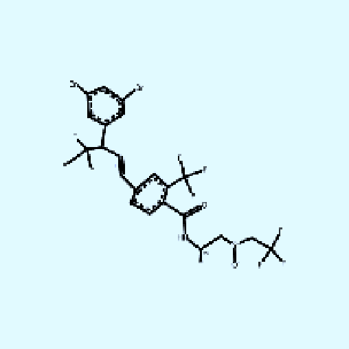 C[C@H](C[S+]([O-])CC(F)(F)F)NC(=O)c1ccc(/C=C/C(c2cc(Br)cc(Br)c2)C(F)(F)F)cc1C(F)(F)F